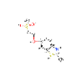 CCS(=O)(=O)CCOc1ccc2nc(C#N)sc2c1